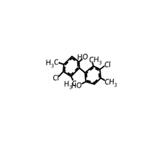 Cc1cc(O)c(-c2c(O)cc(C)c(Cl)c2C)c(C)c1Cl